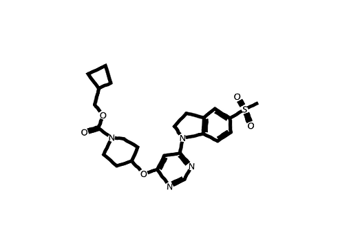 CS(=O)(=O)c1ccc2c(c1)CCN2c1cc(OC2CCN(C(=O)OCC3CCC3)CC2)ncn1